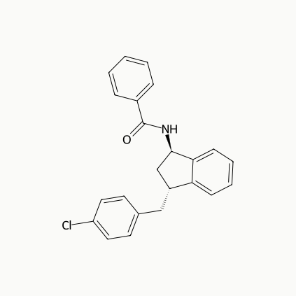 O=C(N[C@@H]1C[C@@H](Cc2ccc(Cl)cc2)c2ccccc21)c1ccccc1